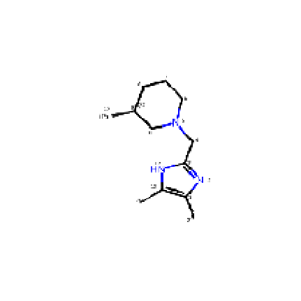 Cc1nc(CN2CCC[C@H](C(C)C)C2)[nH]c1C